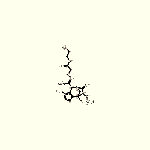 CN/C(=N\OCC(=O)NCCN)[C@@H]1c2c(cnn2C)[C@@H]2CN1C(=O)N2OS(=O)(=O)O